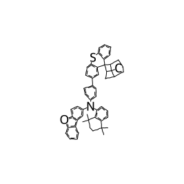 CC1(C)CCC(C)(C)c2c(N(c3ccc(-c4ccc5c(c4)C4(c6ccccc6S5)C5CC6CC7CC4C75C6)cc3)c3ccc4oc5ccccc5c4c3)cccc21